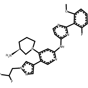 COc1cccc(F)c1-c1nccc(Nc2cc(N3CCC[C@H](N)C3)c(-c3cnn(CC(F)F)c3)cn2)n1